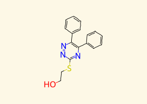 OCCSc1nnc(-c2ccccc2)c(-c2ccccc2)n1